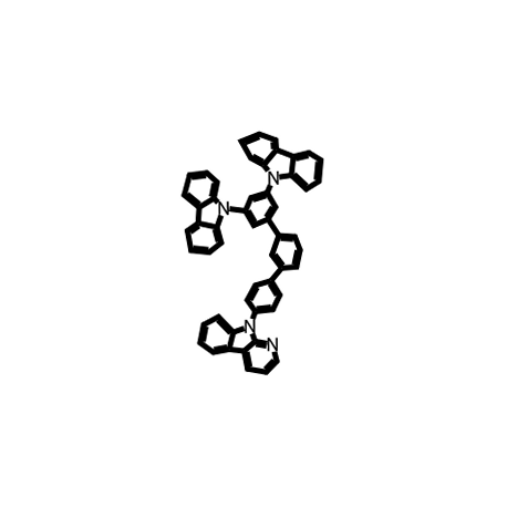 c1cc(-c2ccc(-n3c4ccccc4c4cccnc43)cc2)cc(-c2cc(-n3c4ccccc4c4ccccc43)cc(-n3c4ccccc4c4ccccc43)c2)c1